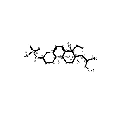 CCC[C@@H](CO)[C@H]1CC[C@H]2C3=CC=C4CC(O[Si](C)(C)C(C)(C)C)CC[C@]4(C)[C@H]3CC[C@]12C